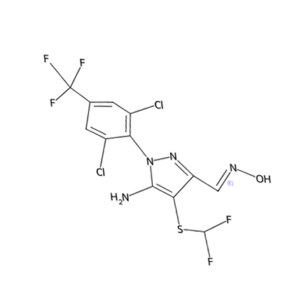 Nc1c(SC(F)F)c(/C=N/O)nn1-c1c(Cl)cc(C(F)(F)F)cc1Cl